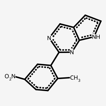 Cc1ccc([N+](=O)[O-])cc1-c1ncc2cc[nH]c2n1